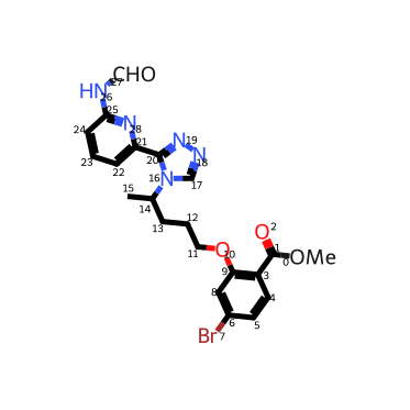 COC(=O)c1ccc(Br)cc1OCCCC(C)n1cnnc1-c1cccc(NC=O)n1